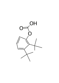 CC(C)(C)c1cccc(OC(=O)O)c1C(C)(C)C